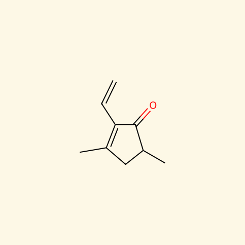 C=CC1=C(C)CC(C)C1=O